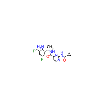 CC(NC(=O)c1ccnc(NC(=O)C2CC2)n1)C1=CC(F)=CC(CF)C1N